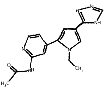 CCn1cc(-c2nnc[nH]2)cc1-c1ccnc(NC(C)=O)c1